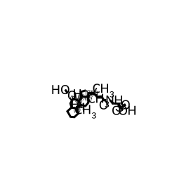 C[C@@H](CCC(=O)NCCS(=O)(=O)O)[C@H]1CC[C@@H]2[C@@H]3[C@@H](OCO)CC4CCCC[C@]4(C)[C@@H]3CC[C@@]21C